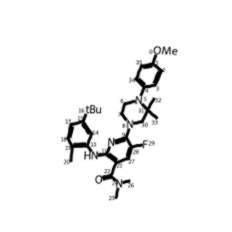 COc1ccc(N2CCN(c3nc(Nc4cc(C(C)(C)C)ccc4C)c(C(=O)N(C)C)cc3F)CC2(C)C)cc1